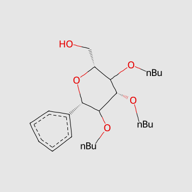 CCCCOC1[C@H](OCCCC)C(OCCCC)[C@H](c2ccccc2)O[C@@H]1CO